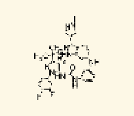 CC(C)(C)c1cc(NC(=O)Nc2cccc(Nc3ccc4c(-c5cn[nH]c5)n[nH]c4c3)c2)n(-c2ccc(F)c(F)c2)n1